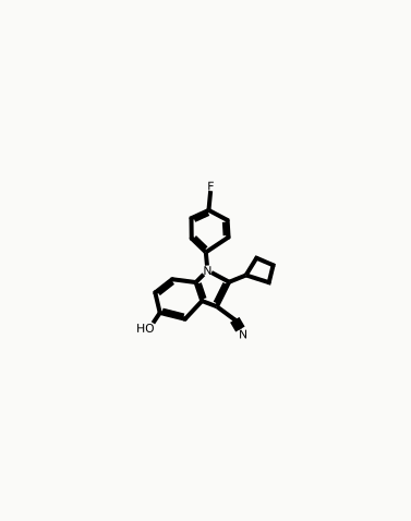 N#Cc1c(C2CCC2)n(-c2ccc(F)cc2)c2ccc(O)cc12